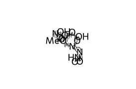 CO[C@]1(C)C[C@@H](C)CN(C)C(C2CCN(C[C@@H]3COC(=O)N3)CC2)CO[C@@H](O)C(C)(C)C(=O)[C@H](C)[C@H]1O[C@@H]1O[C@H](C)C[C@H](N(C)C)[C@H]1O